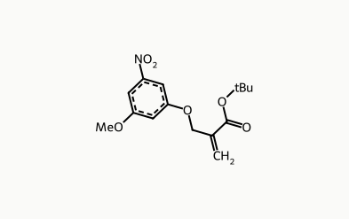 C=C(COc1cc(OC)cc([N+](=O)[O-])c1)C(=O)OC(C)(C)C